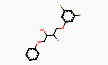 NC(COc1cc(F)cc(F)c1)C(O)COc1ccccc1